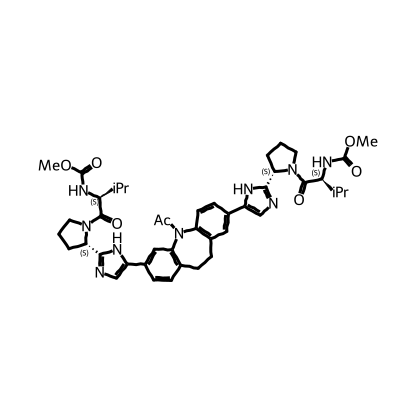 COC(=O)N[C@H](C(=O)N1CCC[C@H]1c1ncc(-c2ccc3c(c2)CCc2ccc(-c4cnc([C@@H]5CCCN5C(=O)[C@@H](NC(=O)OC)C(C)C)[nH]4)cc2N3C(C)=O)[nH]1)C(C)C